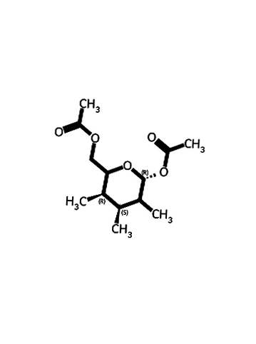 CC(=O)OCC1O[C@H](OC(C)=O)C(C)[C@@H](C)[C@H]1C